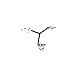 CCCCCCCCC(CCCCCCCC)C(=O)O.[Nd]